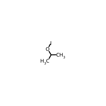 CC(C)OI